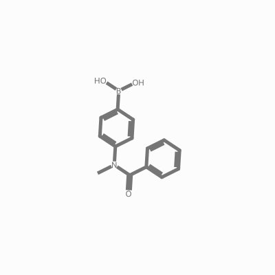 CN(C(=O)c1ccccc1)c1ccc(B(O)O)cc1